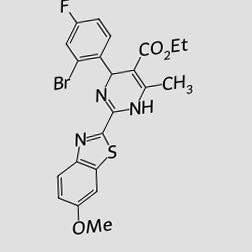 CCOC(=O)C1=C(C)NC(c2nc3ccc(OC)cc3s2)=NC1c1ccc(F)cc1Br